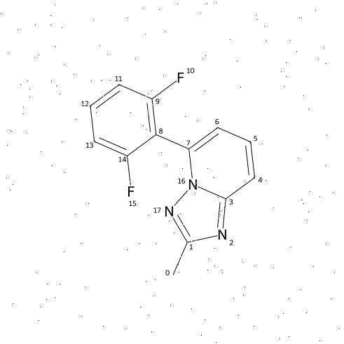 Cc1nc2cccc(-c3c(F)cccc3F)n2n1